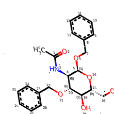 CC(=O)N[C@H]1[C@@H](OCc2ccccc2)O[C@H](CO)[C@@H](O)[C@@H]1OCc1ccccc1